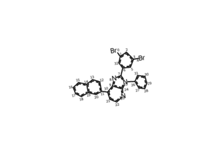 Brc1cc(Br)cc(-c2nc3c(-c4ccc5ccccc5c4)ccnc3n2-c2ccccc2)c1